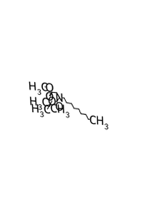 CCCCCCCCCN(CC(=O)OC)C(=O)OC(C)(C)C